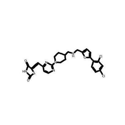 O=C1NC(=O)/C(=C/c2ccnc(N3CCC(CNCc4ccc(-c5ccc(Cl)cc5Cl)o4)CC3)n2)S1